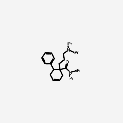 CC(C)N(CCCC1(C(=O)N(C(C)C)C(C)C)CC=CCC1c1ccccc1)C(C)C